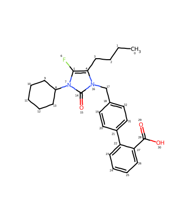 CCCCc1c(F)n(C2CCCCC2)c(=O)n1Cc1ccc(-c2ccccc2C(=O)O)cc1